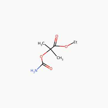 CCOC(=O)C(C)(C)OC(N)=O